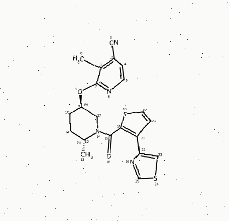 Cc1c(C#N)ccnc1O[C@@H]1CC[C@@H](C)N(C(=O)c2sccc2-c2cscn2)C1